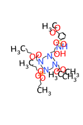 CCCCOC(=O)CN1CCN(CC(O)CNS(=O)(=O)c2cccc(C(=O)OC)c2)CCN(CC(=O)OC(C)(C)C)CCN(CP(=O)(OCCCC)OCCCC)CC1